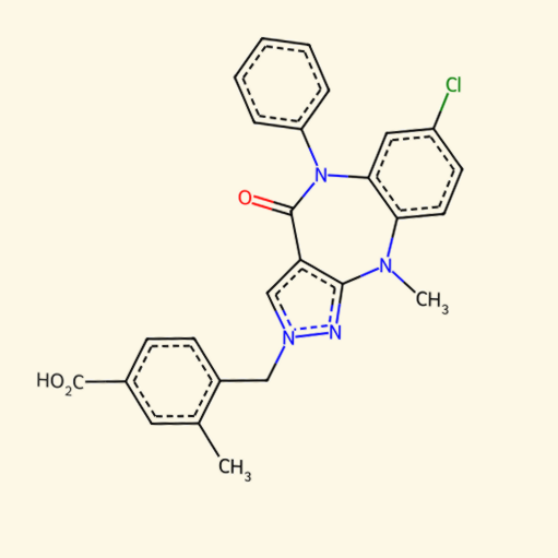 Cc1cc(C(=O)O)ccc1Cn1cc2c(n1)N(C)c1ccc(Cl)cc1N(c1ccccc1)C2=O